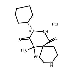 CCCC[N+]1(C)C(=O)[C@H](C2CCCCC2)NC(=O)C12CCNCC2.Cl